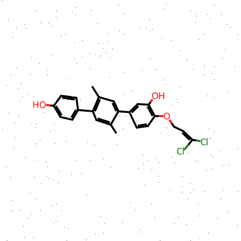 Cc1cc(-c2ccc(OCC=C(Cl)Cl)c(O)c2)c(C)cc1-c1ccc(O)cc1